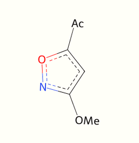 COc1cc(C(C)=O)on1